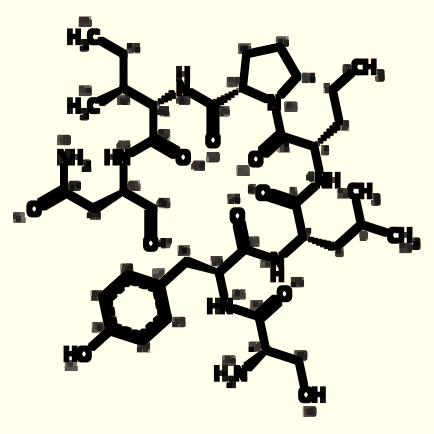 CCC[C@H](NC(=O)[C@H](CC(C)C)NC(=O)[C@H](Cc1ccc(O)cc1)NC(=O)[C@H](N)CO)C(=O)N1CCC[C@H]1C(=O)N[C@H](C(=O)N[C@@H](C=O)CC(N)=O)[C@@H](C)CC